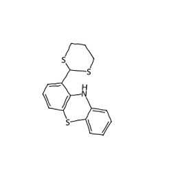 c1ccc2c(c1)Nc1c(cccc1C1SCCCS1)S2